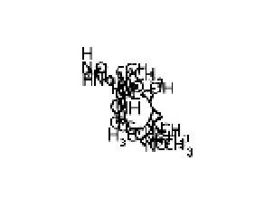 CCn1c(-c2cccnc2[C@H](C)OC)c2c3cc(ccc31)-c1cc(O)cc(c1)C[C@H](NC(=O)C(C(C)C)N(C)C(=O)[C@H]1C[C@H](NC(=O)[C@@H]3CN3)C1)C(=O)N1CCC[C@H](N1)C(=O)OCC(C)(C)C2